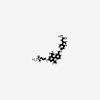 CS(=O)(=O)CCCOc1cc(C(F)(F)F)c(-c2cccc(COc3cc4c(cn3)C(CC(=O)O)CS4)c2)c(C(F)(F)F)c1